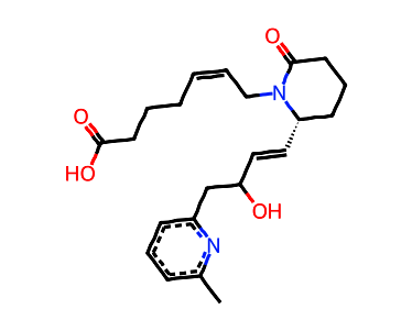 Cc1cccc(CC(O)/C=C/[C@H]2CCCC(=O)N2C/C=C\CCCC(=O)O)n1